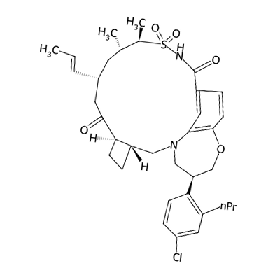 C/C=C/[C@H]1CC(=O)[C@@H]2CC[C@H]2CN2C[C@H](c3ccc(Cl)cc3CCC)COc3ccc(cc32)C(=O)NS(=O)(=O)[C@H](C)[C@@H](C)C1